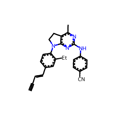 C#C/C=C/c1ccc(N2CCc3c(C)nc(Nc4ccc(C#N)cc4)nc32)c(CC)c1